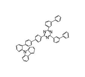 c1ccc(-c2cccc(-c3nc(-c4ccc(-c5ccc(-c6ccccc6-n6c7ccccc7c7ccccc76)cc5)cc4)nc(-c4cccc(-c5ccccc5)c4)n3)c2)cc1